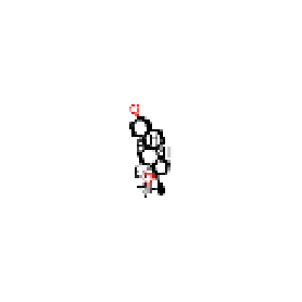 C#C[C@]1(O[Si](C)(C)C)C=C[C@H]2[C@@H]3CCC4=CC(=O)CC[C@@H]4[C@H]3CC[C@@]21CC